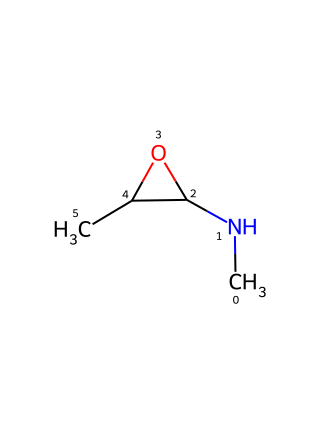 CNC1OC1C